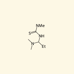 CCC(NC(=S)NC)N(C)C